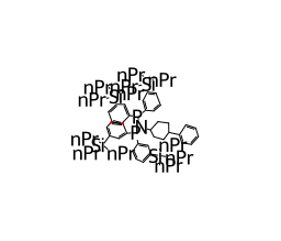 CCC[Si](CCC)(CCC)c1cccc(P(c2cccc([Si](CCC)(CCC)CCC)c2)N(C2CCC(c3ccccc3)CC2)P(c2cccc([Si](CCC)(CCC)CCC)c2)c2cccc([Si](CCC)(CCC)CCC)c2)c1